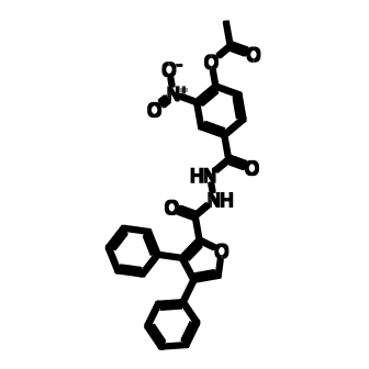 CC(=O)Oc1ccc(C(=O)NNC(=O)c2occ(-c3ccccc3)c2-c2ccccc2)cc1[N+](=O)[O-]